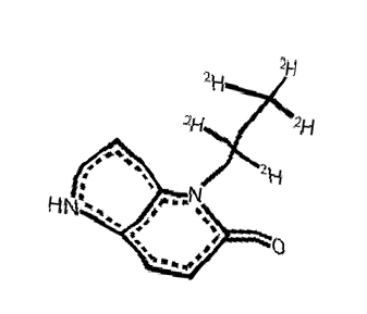 [2H]C([2H])([2H])C([2H])([2H])n1c(=O)ccc2[nH]ccc21